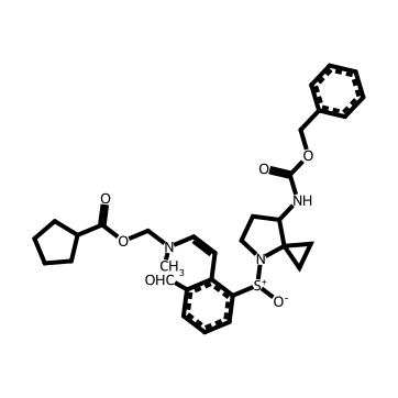 CN(/C=C\c1c(C=O)cccc1[S+]([O-])N1CCC(NC(=O)OCc2ccccc2)C12CC2)COC(=O)C1CCCC1